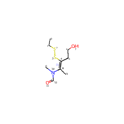 CCSS/C(CCO)=C(/C)N(C)C=O